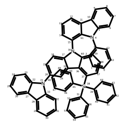 c1ccc(-n2c3ccccc3c3cccc(-n4c5ccc(-n6c7ccccc7c7ccccc76)cc5c5c([Si](c6ccccc6)(c6ccccc6)c6ccccc6)cccc54)c32)cc1